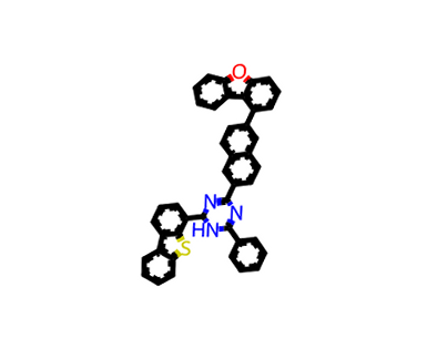 c1ccc(C2=NC(c3ccc4cc(-c5cccc6oc7ccccc7c56)ccc4c3)=NC(c3cccc4c3sc3ccccc34)N2)cc1